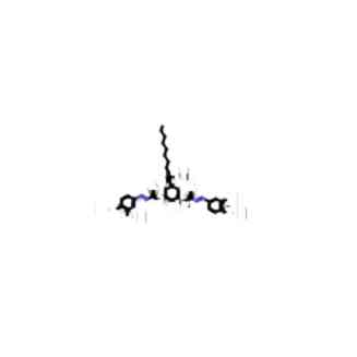 CCCCCCCCNC(=O)[C@]1(O)C[C@@H](OC(=O)/C=C/c2ccc(O)c(O)c2)[C@@H](O)[C@H](OC(=O)/C=C/c2ccc(O)c(O)c2)C1